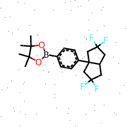 CC1(C)OB(c2ccc(C34CC(F)(F)CC3CC(F)(F)C4)cc2)OC1(C)C